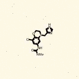 CNC(=O)Nc1cc(Cl)c2c(c1)N(Cc1c[nH]cn1)CCO2